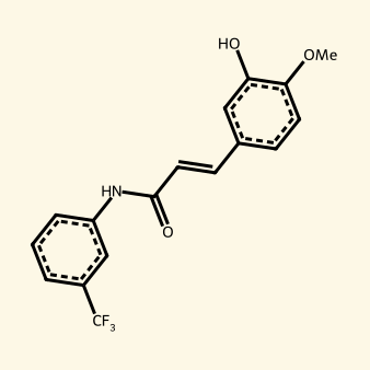 COc1ccc(/C=C/C(=O)Nc2cccc(C(F)(F)F)c2)cc1O